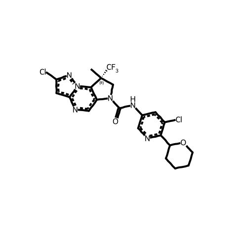 C[C@@]1(C(F)(F)F)CN(C(=O)Nc2cnc(C3CCCCO3)c(Cl)c2)c2cnc3cc(Cl)nn3c21